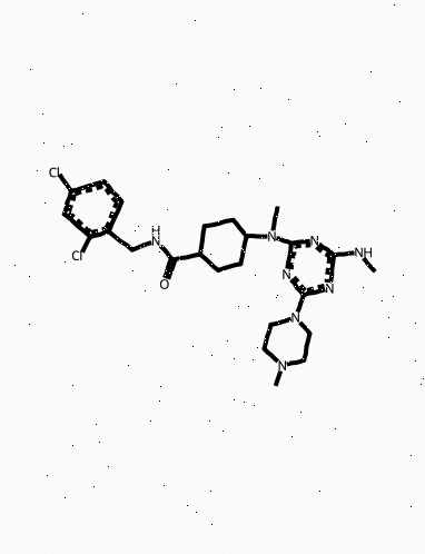 CNc1nc(N2CCN(C)CC2)nc(N(C)C2CCC(C(=O)NCc3ccc(Cl)cc3Cl)CC2)n1